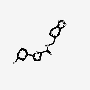 O=C(NCc1ccc2nsnc2c1)c1ccc(-c2cccc(Cl)c2)o1